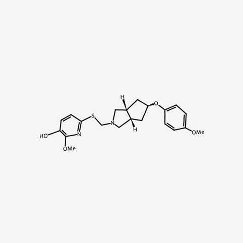 COc1ccc(O[C@H]2C[C@@H]3CN(CSc4ccc(O)c(OC)n4)C[C@@H]3C2)cc1